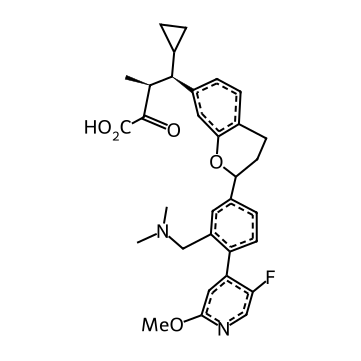 COc1cc(-c2ccc(C3CCc4ccc([C@H](C5CC5)[C@H](C)C(=O)C(=O)O)cc4O3)cc2CN(C)C)c(F)cn1